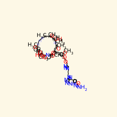 CO[C@H]1C[C@@H]2CC[C@@H](C)[C@@](O)(O2)C(=O)C(=O)N2CCCC[C@H]2C(=O)O[C@H]([C@H](C)C[C@@H]2CC[C@@H](OCCOCc3cn(CCCCn4nc(-c5ccc6oc(N)nc6c5)c5c(N)ncnc54)nn3)[C@H](OC)C2)CC(=O)[C@H](C)/C=C(\C)[C@@H](O)[C@@H](C)C(=O)[C@H](C)C[C@H](C)/C=C/C=C/C=C/1C